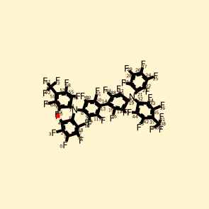 Fc1c(F)c(F)c(N(c2c(F)c(F)c(-c3c(F)c(F)c(N(c4c(F)c(F)c(F)c(F)c4F)c4c(F)c(F)c(C(F)(F)F)c(F)c4F)c(F)c3F)c(F)c2F)c2c(F)c(F)c(C(F)(F)F)c(F)c2F)c(F)c1F